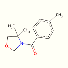 Cc1ccc(C(=O)N2COCC2(C)C)cc1